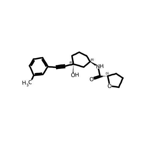 Cc1cccc(C#C[C@@]2(O)CCC[C@@H](NC(=O)[C@@H]3CCCO3)C2)c1